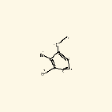 COc1c[c]cc(Br)c1Br